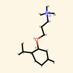 CC1CCC(C(C)C)C(OCCC[N+](C)(C)C)C1